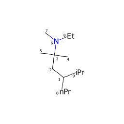 CCCC(CC(C)(C)N(C)CC)C(C)C